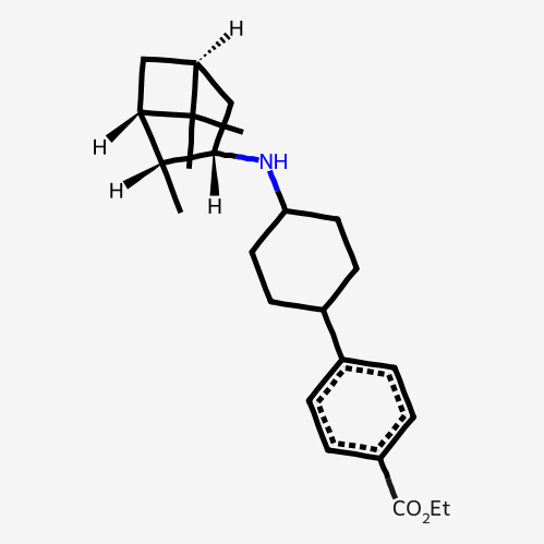 CCOC(=O)c1ccc(C2CCC(N[C@H]3C[C@@H]4C[C@@H]([C@H]3C)C4(C)C)CC2)cc1